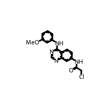 COc1cccc(Nc2ncnc3cc(NC(=O)CCl)ccc23)c1